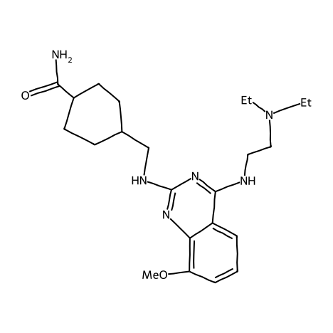 CCN(CC)CCNc1nc(NCC2CCC(C(N)=O)CC2)nc2c(OC)cccc12